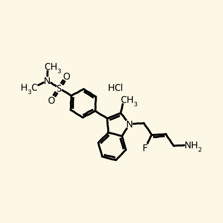 Cc1c(-c2ccc(S(=O)(=O)N(C)C)cc2)c2ccccc2n1CC(F)=CCN.Cl